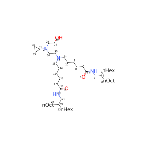 CCCCCCCCC(CCCCCC)CNC(=O)CCCCCN(CCCCCC(=O)NCC(CCCCCC)CCCCCCCC)CCN(CCO)C1CC1